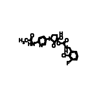 CC(=O)Nc1ccc(N2CC[C@](O)(OC(=O)NCc3cccc(F)c3Cl)C2=O)cn1